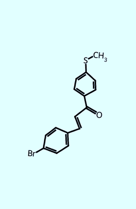 CSc1ccc(C(=O)C=Cc2ccc(Br)cc2)cc1